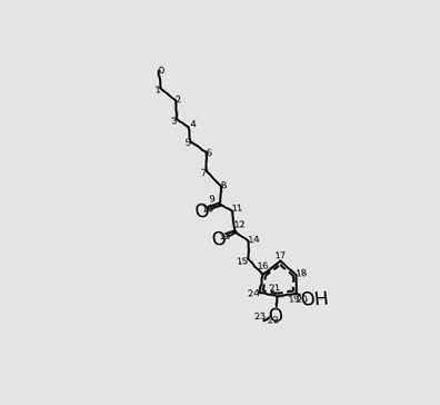 CCCCCCCCCC(=O)CC(=O)CCc1ccc(O)c(OC)c1